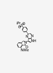 CNc1cccc2c1C(=O)N(c1c[nH]c3ncc(-c4ccc(S(=O)(=O)C(C)C)cc4)nc13)C2